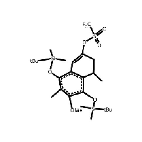 COc1c(C)c(O[Si](C)(C)C(C)(C)C)c2c(c1O[Si](C)(C)C(C)(C)C)C(C)CC(OS(=O)(=O)C(F)(F)F)=C2